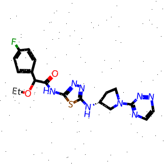 CCOC(C(=O)Nc1nnc(N[C@@H]2CCN(c3nccnn3)C2)s1)c1ccc(F)cc1